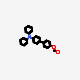 O=COc1ccc(-c2ccc(N(c3ccccc3)c3ccccc3)cc2)cc1